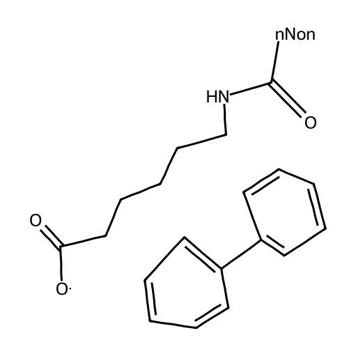 CCCCCCCCCC(=O)NCCCCCC([O])=O.c1ccc(-c2ccccc2)cc1